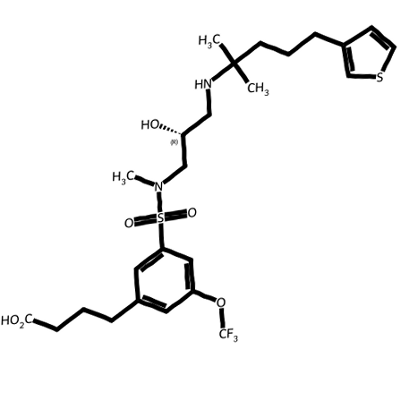 CN(C[C@H](O)CNC(C)(C)CCCc1ccsc1)S(=O)(=O)c1cc(CCCC(=O)O)cc(OC(F)(F)F)c1